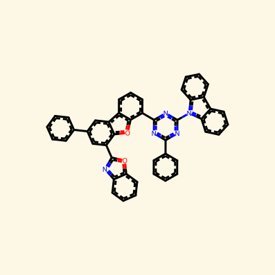 c1ccc(-c2cc(-c3nc4ccccc4o3)c3oc4c(-c5nc(-c6ccccc6)nc(-n6c7ccccc7c7ccccc76)n5)cccc4c3c2)cc1